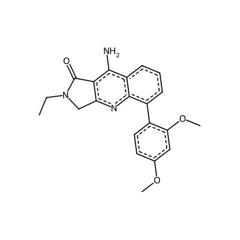 CCN1Cc2nc3c(-c4ccc(OC)cc4OC)cccc3c(N)c2C1=O